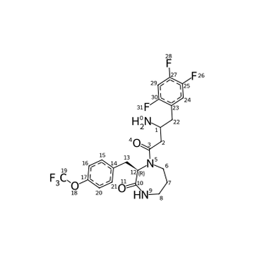 NC(CC(=O)N1CCCNC(=O)[C@H]1Cc1ccc(OC(F)(F)F)cc1)Cc1cc(F)c(F)cc1F